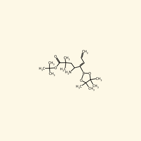 C=C/C=C(/B1OC(C)(C)C(C)(C)O1)C(N)CC(C)(C)C(=O)OC(C)(C)C